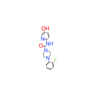 O=C(Nc1ccc(O)cn1)N1CCN(c2ccccc2F)CC1